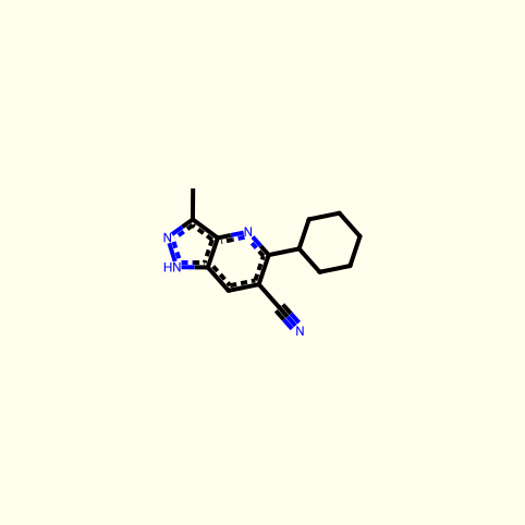 Cc1n[nH]c2cc(C#N)c(C3CCCCC3)nc12